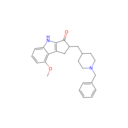 COc1cccc2[nH]c3c(c12)CC(CC1CCN(Cc2ccccc2)CC1)C3=O